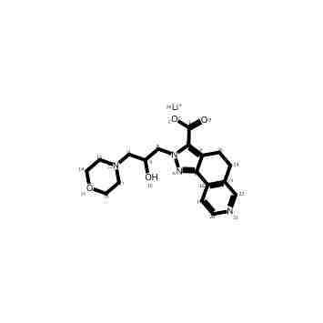 O=C([O-])c1c2c(nn1CC(O)CN1CCOCC1)-c1ccncc1CC2.[Li+]